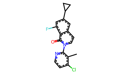 Cc1c(Cl)ccnc1-n1ccc2cc(C3CC3)cc(F)c2c1=O